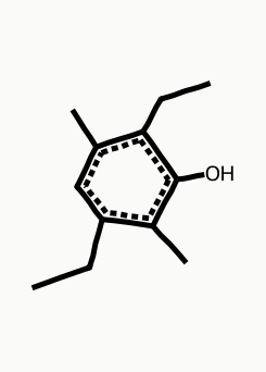 CCc1cc(C)c(CC)c(O)c1C